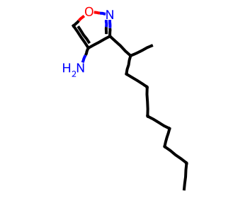 CCCCCCCC(C)c1nocc1N